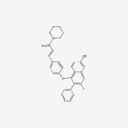 Cc1cc2cc(O)ccc2c(Oc2ccc(C=CC(=O)N3CCCCC3)cc2)c1-c1ccccc1